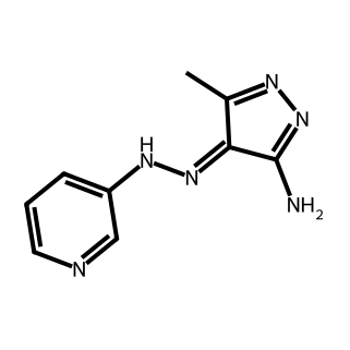 CC1=NN=C(N)/C1=N/Nc1cccnc1